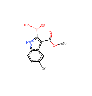 CC(C)(C)OC(=O)c1c(B(O)O)[nH]c2ccc(C#N)cc12